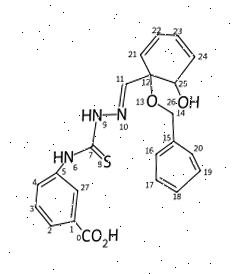 O=C(O)c1cccc(NC(=S)NN=CC2(OCc3ccccc3)C=CC=CC2O)c1